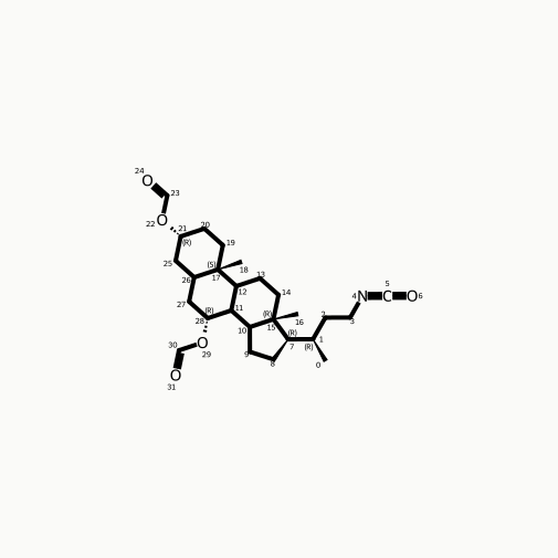 C[C@H](CCN=C=O)[C@H]1CCC2C3C(CC[C@@]21C)[C@@]1(C)CC[C@@H](OC=O)CC1C[C@H]3OC=O